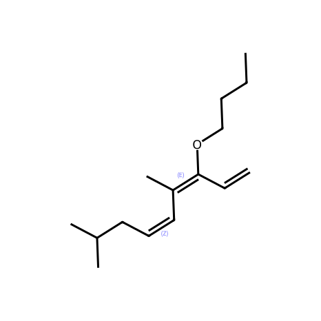 C=C/C(OCCCC)=C(C)\C=C/CC(C)C